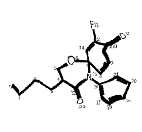 C=CCCC1COC2(C=CC(=O)C(F)=C2)N(c2ccccc2)C1=O